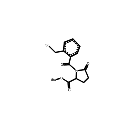 CC(C)(C)OC(=O)C1CCC(=O)N1C(=O)c1ccccc1CBr